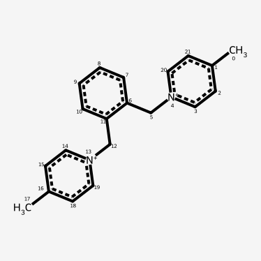 Cc1cc[n+](Cc2ccccc2C[n+]2ccc(C)cc2)cc1